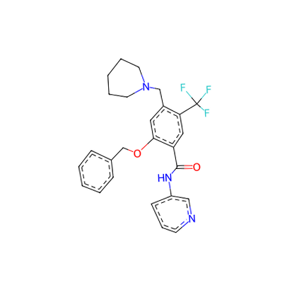 O=C(Nc1cccnc1)c1cc(C(F)(F)F)c(CN2CCCCC2)cc1OCc1ccccc1